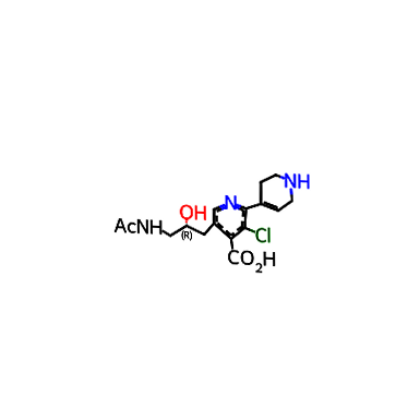 CC(=O)NC[C@H](O)Cc1cnc(C2=CCNCC2)c(Cl)c1C(=O)O